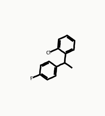 C[C](c1ccc(F)cc1)c1ccccc1Cl